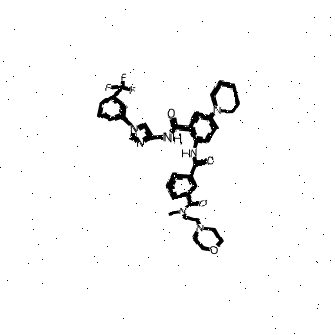 CN(CCN1CCOCC1)C(=O)c1cccc(C(=O)Nc2ccc(N3CCCCC3)cc2C(=O)Nc2cn(-c3cccc(C(F)(F)F)c3)cn2)c1